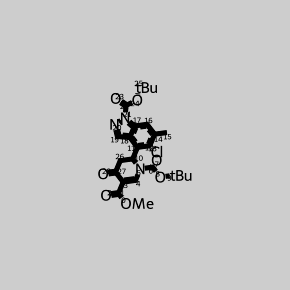 COC(=O)C1=CN(C(=O)OC(C)(C)C)C(c2c(Cl)c(C)cc3c2cnn3C(=O)OC(C)(C)C)CC1=O